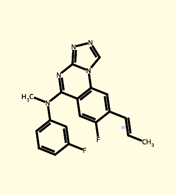 C/C=C/c1cc2c(cc1F)c(N(C)c1cccc(F)c1)nc1nncn12